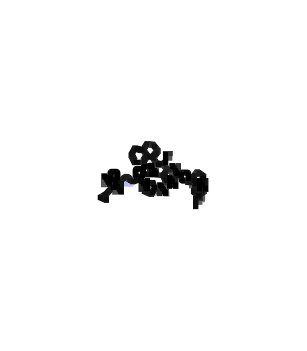 CN(c1nc(OC[C@@]23CCCN2C[C@H](F)C3)nc2c(F)c(-c3cccc4cccc(Cl)c34)ncc12)[C@@H]1CCN(C(=O)/C=C/c2nc(C3CC3)no2)C1